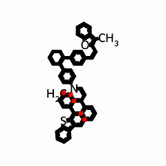 C=C/C=C(\C=C/N(c1ccc(C2=C(c3ccc(/C=C\c4oc5ccccc5c4C)cc3)CCC=C2)cc1)c1cccc(-c2cccc3c2sc2ccccc23)c1)c1ccccc1